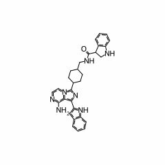 Nc1nccn2c(C3CCC(CNC(=O)C4CNc5ccccc54)CC3)nc(-c3cc4ccccc4[nH]3)c12